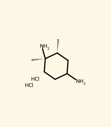 C[C@@H]1CC(N)CC[C@@]1(C)N.Cl.Cl